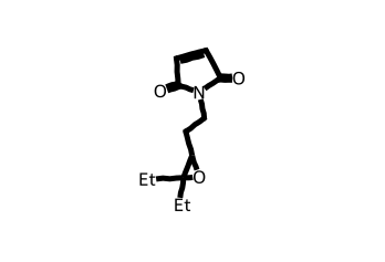 CCC1(CC)OC1CCN1C(=O)C=CC1=O